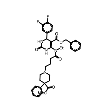 CCN(C(=O)CCCN1CCC(C(=O)OC)(c2ccccc2)CC1)C1=C(C(=O)OCc2ccccc2)C(c2ccc(F)c(F)c2)NC(=O)N1